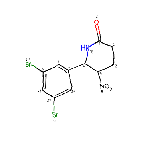 O=C1CCC([N+](=O)[O-])C(c2cc(Br)cc(Br)c2)N1